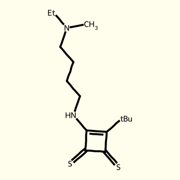 CCN(C)CCCCNc1c(C(C)(C)C)c(=S)c1=S